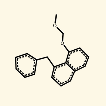 COCOc1cccc2cccc(Cc3ccccc3)c12